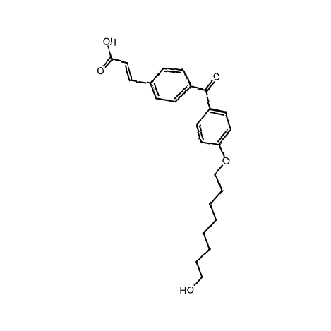 O=C(O)/C=C/c1ccc(C(=O)c2ccc(OCCCCCCCCO)cc2)cc1